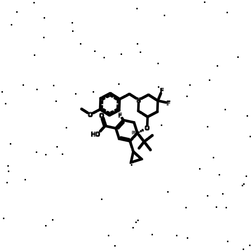 COc1ccc(CN2CC(O[C@@]3(C(C)(C)C)CC(F)=C(C(=O)O)C=C3C3CC3)CC(F)(F)C2)cc1